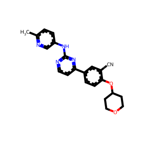 Cc1ccc(Nc2nccc(-c3ccc(OC4CCOCC4)c(C#N)c3)n2)cn1